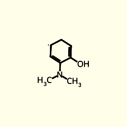 CN(C)C1=C[CH]CC=C1O